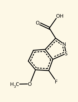 COc1ccc2c(C(=O)O)nsc2c1F